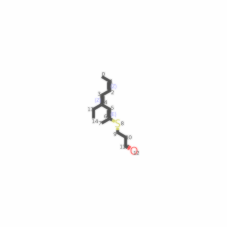 C\C=C/C=C(\C=C(/C)SCCC=O)CC